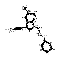 CC#Cc1cn(SOOc2ccccc2)c2ncc(Br)cc12